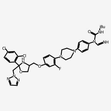 CCC(C)NC(=O)N(C=N)c1ccc(N2CCN(c3ccc(OCC4COC(Cn5nccn5)(c5ccc(Cl)cc5Cl)N4)cc3F)CC2)cc1